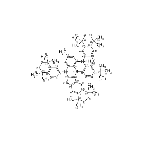 Cc1cc2c3c(c1)N(c1ccc4c(c1)C(C)(C)CCC4(C)C)c1sc4cc5c(cc4c1B3c1ccc(C(C)(C)C)cc1N2c1cc2c(cc1C)C(C)(C)CCC2(C)C)C(C)(C)CCC5(C)C